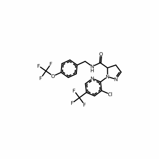 O=C(NCc1ccc(OC(F)(F)F)cc1)C1CC=NN1c1ncc(C(F)(F)F)cc1Cl